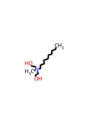 CCCCCCCCCC[N+](C)(CCO)CCO